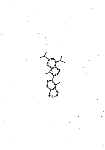 Cc1c(-c2ccc3c(C(C)C)cc(C(C)C)cc3[n+]2C)ccc2ccccc12